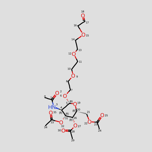 CC(=O)N[C@H]1[C@H](OCCOCCOCCOCC=O)O[C@H](COC(C)=O)[C@H](OC(C)=O)[C@@H]1OC(C)=O